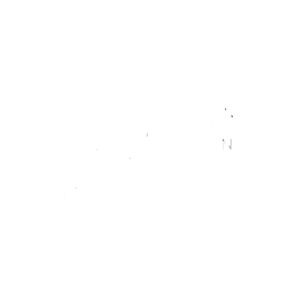 [c]1sccc1-c1ccc(OCCCc2c[nH]cn2)cc1